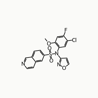 COc1cc(F)c(Cl)cc1N(c1ccon1)S(=O)(=O)c1ccc2cnccc2c1